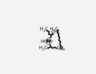 CCCCC(CC)COP(=O)(O)OCC(CC)CCCC.CCCCCCCCC[CH2][Ni]